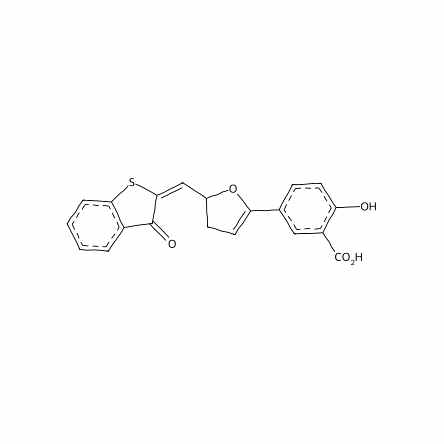 O=C(O)c1cc(C2=CCC(/C=C3/Sc4ccccc4C3=O)O2)ccc1O